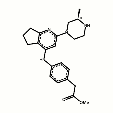 COC(=O)Cc1ccc(Nc2cc(N3CCN[C@H](C)C3)nc3c2CCC3)cc1